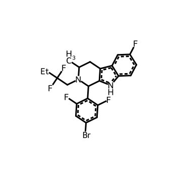 CCC(F)(F)CN1C(C)Cc2c([nH]c3ccc(F)cc23)C1c1c(F)cc(Br)cc1F